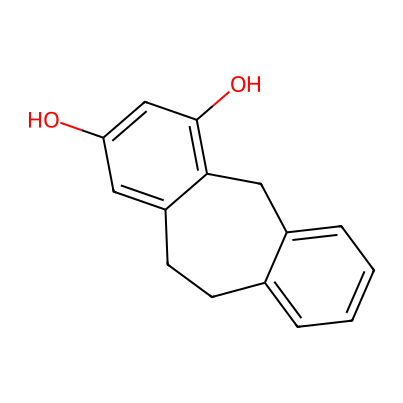 Oc1cc(O)c2c(c1)CCc1ccccc1C2